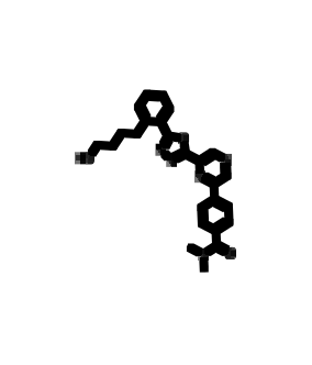 CN(C)C(=O)c1ccc(-c2cncc(-c3nnc(-c4ccccc4CCCCO)o3)n2)cc1